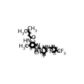 CC(C)=CCC(=O)Nc1cc2nc(N3C[C@H](F)C[C@@H](Nc4ncc(C(F)(F)F)cn4)C3)n(C)c2cc1C